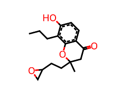 CCCc1c(O)ccc2c1OC(C)(CCC1CO1)CC2=O